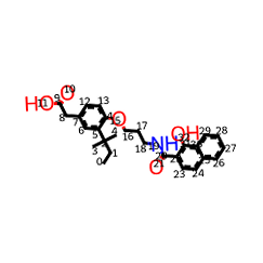 CCC(C)(C)c1cc(CC(=O)O)ccc1OCCCNC(=O)c1ccc2ccccc2c1O